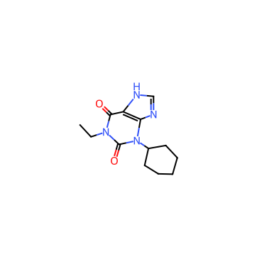 CCn1c(=O)c2[nH]cnc2n(C2CCCCC2)c1=O